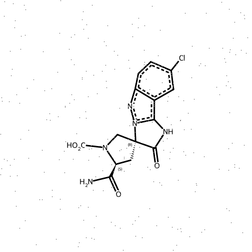 NC(=O)[C@@H]1C[C@@]2(CN1C(=O)O)C(=O)Nc1c3cc(Cl)ccc3nn12